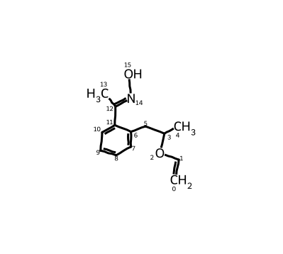 C=COC(C)Cc1ccccc1C(C)=NO